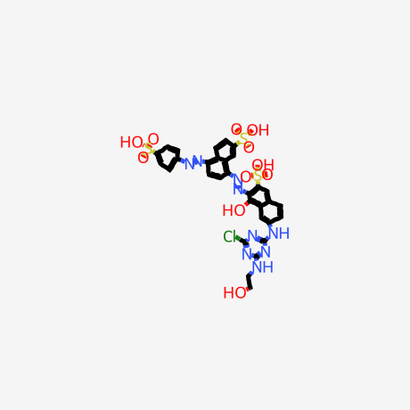 O=S(=O)(O)c1ccc(N=Nc2ccc(N=Nc3c(S(=O)(=O)O)cc4ccc(Nc5nc(Cl)nc(NCCO)n5)cc4c3O)c3cc(S(=O)(=O)O)ccc23)cc1